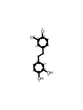 Oc1ccc(CCc2ccc(Cl)c(Cl)c2)cc1O